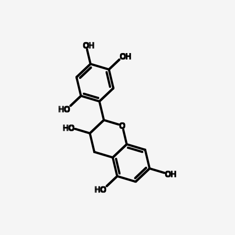 Oc1cc(O)c2c(c1)OC(c1cc(O)c(O)cc1O)C(O)C2